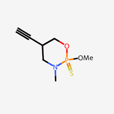 C#CC1COP(=S)(OC)N(C)C1